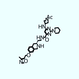 CC(=O)N1CC(Nc2cc(C(=O)NCC[C@@H]3Cc4ccc(OCc5ocnc5C)cc4CN3)nc(N3CCCCC3)n2)C1